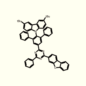 CC(C)(C)c1ccc2c(c1)c1cc(C(C)(C)C)ccc1n2-c1c(-c2ccccc2)cc(-c2nc(-c3ccccc3)nc(-c3ccc4c(c3)oc3ccccc34)n2)cc1-c1ccccc1